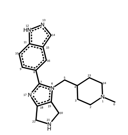 CN1CCC(Cn2c(-c3ccc4[nH]ncc4c3)nc3c2CNC3)CC1